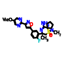 CN=[S@@]1(=O)C[C@@](C)(c2cc(-c3cc(-c4ncc(OC)cn4)no3)ccc2F)N=C(N)C12CCCC2